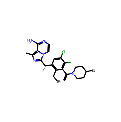 C=C(c1c(F)c(Cl)cc([C@H](C)c2nc(C)c3c(N)nccn23)c1CC(C)C)N1CCC(CC)CC1